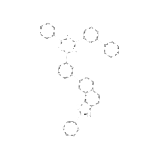 c1ccc(-c2cccc(-c3nc(-c4ccccc4)nc(-c4cccc(-c5ccc6ccc7nc(-c8ccccc8)sc7c6c5)c4)n3)c2)cc1